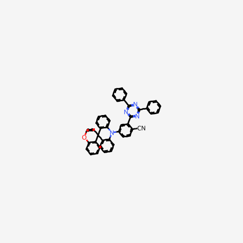 N#Cc1ccc(N2c3ccccc3C3(c4ccccc4Oc4ccccc43)c3ccccc32)cc1-c1nc(-c2ccccc2)nc(-c2ccccc2)n1